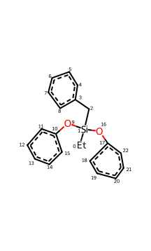 CC[Si](Cc1ccccc1)(Oc1ccccc1)Oc1ccccc1